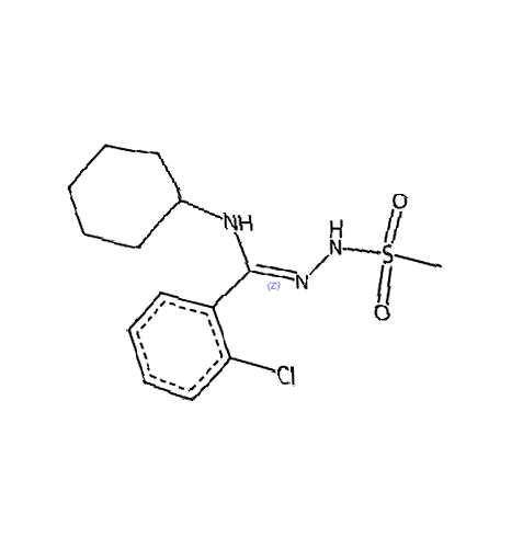 CS(=O)(=O)N/N=C(\NC1CCCCC1)c1ccccc1Cl